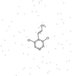 C/C=C/c1c(Cl)cncc1Cl